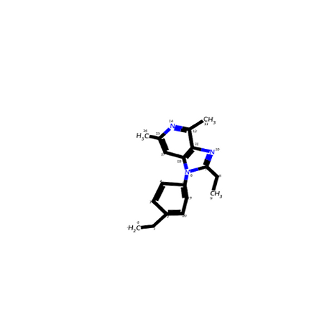 [CH2]Cc1ccc(-n2c(CC)nc3c(C)nc(C)cc32)cc1